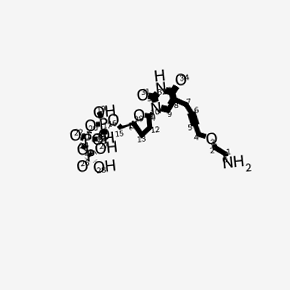 NCCOCC#CCc1cn([C@H]2CC[C@@H](COP(=O)(O)OP(=O)(O)OP(=O)(O)O)O2)c(=O)[nH]c1=O